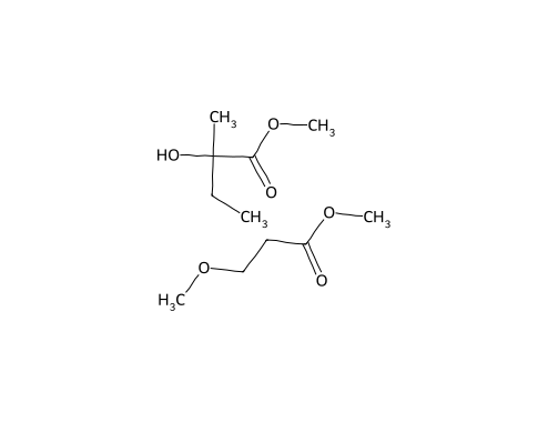 CCC(C)(O)C(=O)OC.COCCC(=O)OC